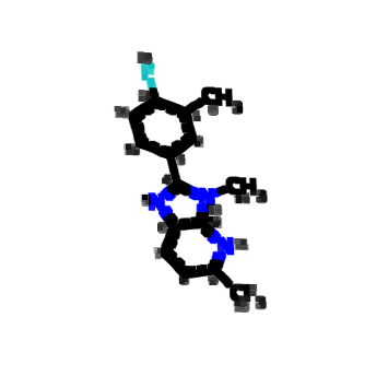 Cc1cc(-c2nc3ccc(C(F)(F)F)nc3n2C)ccc1F